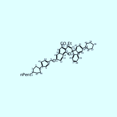 CCCCCC1CCC(c2ccc(COc3ccc4c5c(c(C(=O)OCC)cc4c3)C=CC(c3ccccc3)(c3ccc(N4CCCCC4)cc3)O5)cc2)CC1